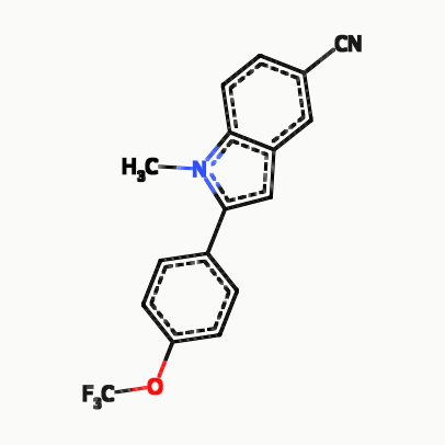 Cn1c(-c2ccc(OC(F)(F)F)cc2)cc2cc(C#N)ccc21